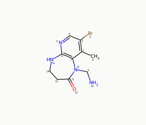 Cc1c(Br)cnc2c1N(CN)C(=O)CCN2